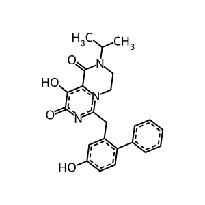 CC(C)N1CCn2c(Cc3cc(O)ccc3-c3ccccc3)nc(=O)c(O)c2C1=O